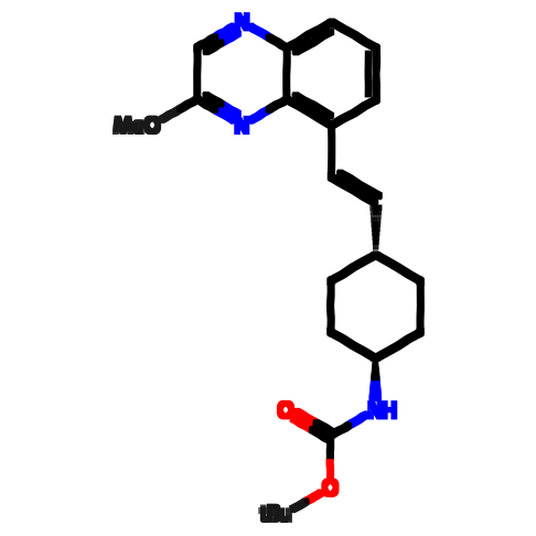 COc1cnc2cccc(C=C[C@H]3CC[C@H](NC(=O)OC(C)(C)C)CC3)c2n1